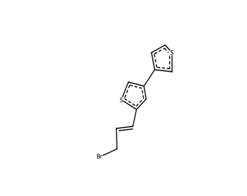 BrC/C=C/c1cc(-c2ccsc2)cs1